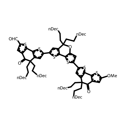 CCCCCCCCCCCCC1(CCCCCCCCCCCC)Oc2cc(-c3cc4c(s3)-c3sc(OC)cc3C(=O)C4(CCCCCCCCCCCC)CCCCCCCCCCCC)sc2-c2sc(-c3cc4c(s3)-c3sc(C=O)cc3C(=O)C4(CCCCCCCCCCCC)CCCCCCCCCCCC)cc21